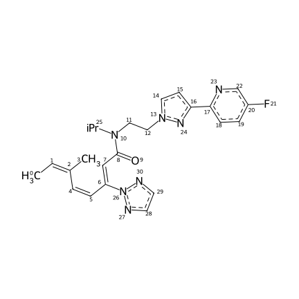 C\C=C(C)/C=C\C(=C\C(=O)N(CCn1ccc(-c2ccc(F)cn2)n1)C(C)C)n1nccn1